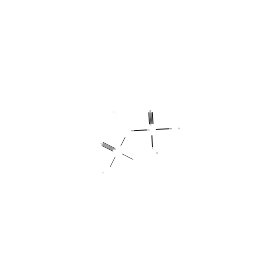 O=P(O)(O)OP(=O)(O)O.[TeH2]